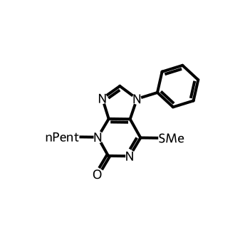 CCCCCn1c(=O)nc(SC)c2c1ncn2-c1ccccc1